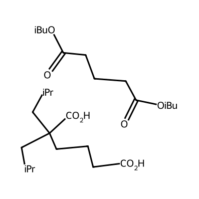 CC(C)CC(CCCC(=O)O)(CC(C)C)C(=O)O.CC(C)COC(=O)CCCC(=O)OCC(C)C